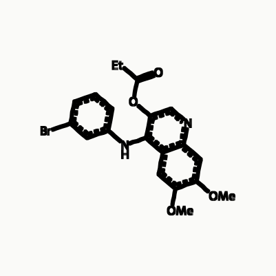 CCC(=O)Oc1cnc2cc(OC)c(OC)cc2c1Nc1cccc(Br)c1